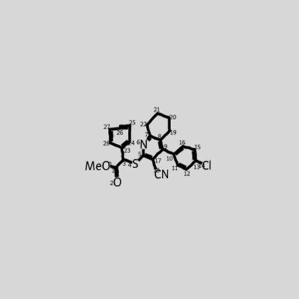 COC(=O)C(Sc1nc2c(c(-c3ccc(Cl)cc3)c1C#N)CCCC2)c1ccccc1